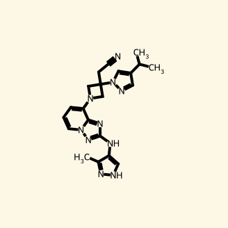 Cc1n[nH]cc1Nc1nc2c(N3CC(CC#N)(n4cc(C(C)C)cn4)C3)cccn2n1